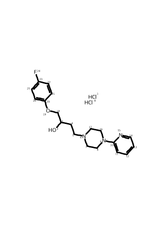 Cl.Cl.OC(CCN1CCN(c2ccccn2)CC1)COc1ccc(F)cc1